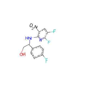 O=[N+]([O-])c1cc(F)c(F)nc1NC(CO)c1ccc(F)cc1